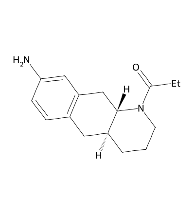 CCC(=O)N1CCC[C@H]2Cc3ccc(N)cc3C[C@@H]21